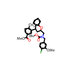 COC(=O)c1ccc(C)c(C2CC(CN(Cc3ccc(F)c(OC)c3)C(=O)OC(C)(C)C)Oc3ccccc32)c1